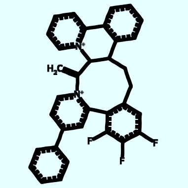 C=C1C2C(CCc3cc(F)c(F)c(F)c3-c3cc(-c4ccccc4)cc[n+]31)c1ccccc1-c1cccc[n+]12